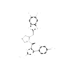 Cc1nc(C(=O)N2CCCC2Cc2nc3cc(F)c(F)cc3[nH]2)c(-c2ccc(F)cc2)s1